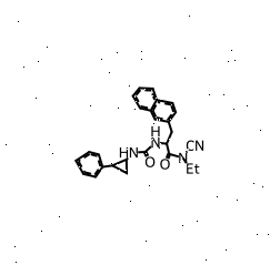 CCN(C#N)C(=O)C(Cc1ccc2ccccc2c1)NC(=O)NC1CC1c1ccccc1